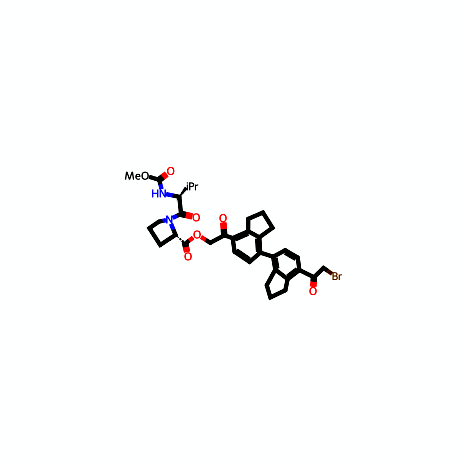 COC(=O)N[C@H](C(=O)N1CCC[C@H]1C(=O)OCC(=O)c1ccc(-c2ccc(C(=O)CBr)c3c2CCC3)c2c1CCC2)C(C)C